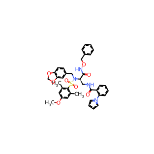 COc1cc(C)c(S(=O)(=O)N(Cc2ccc3c(c2)OCO3)[C@H](CNC(=O)c2ccccc2-n2cccc2)C(=O)NOCc2ccccc2)c(C)c1